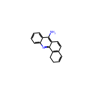 Nc1c2ccccc2nc2c3c(ccc12)C=CCC3